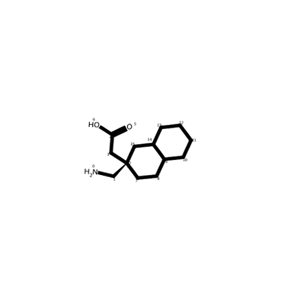 NC[C@]1(CC(=O)O)CCC2CCCCC2C1